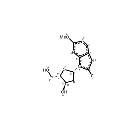 COc1ncc2nc(Cl)n([C@@H]3C[C@@H](O)[C@H](CO)O3)c2n1